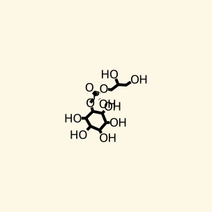 O=P(O)(OCC(O)CO)OC1C(O)C(O)C(O)C(O)C1O